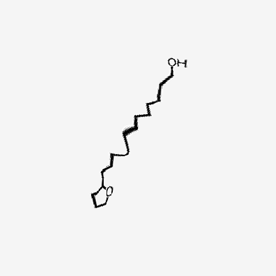 OCCCCCCCCCCCCC1CCCO1